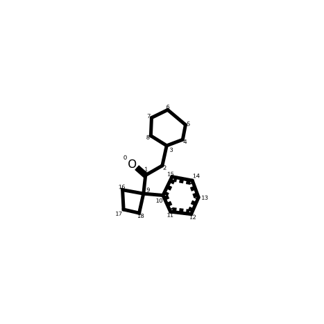 O=C(CC1CCCCC1)C1(c2ccccc2)CCC1